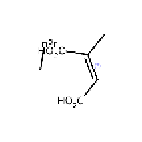 C/C(=C/C(=O)O)C(=O)O.CCCC